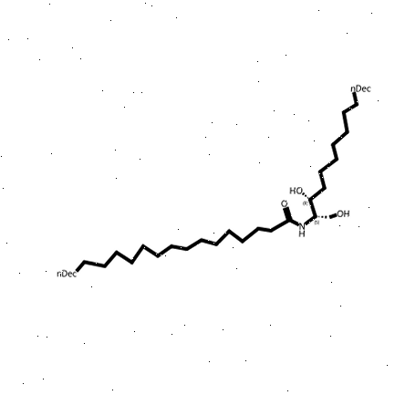 CCCCCCCCCCCCCCCCCCCCCCCCC(=O)N[C@@H](CO)[C@H](O)CCCCCCCCCCCCCCCCC